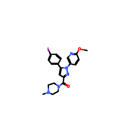 COc1ccc(-n2nc(C(=O)N3CCN(C)CC3)cc2-c2ccc(I)cc2)cn1